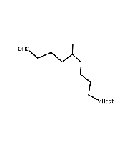 CCCCCCCCCCCC(C)CCCC=O